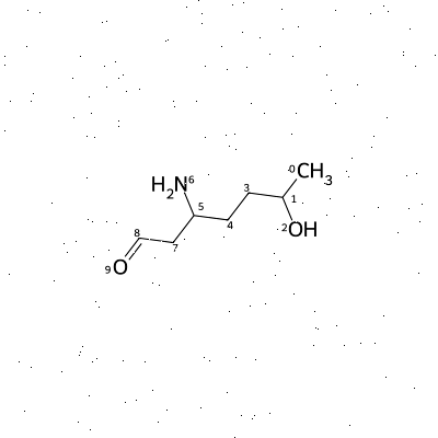 CC(O)CCC(N)CC=O